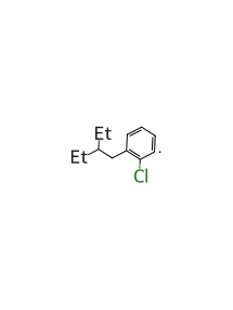 CCC(CC)Cc1ccc[c]c1Cl